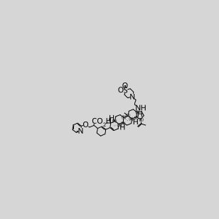 C=C(C)[C@@H]1CC[C@]2(NCCN3CCS(=O)(=O)CC3)CC[C@]3(C)[C@H](CC[C@@H]4[C@@]5(C)CC=C(C6=CC(C(COc7ccccn7)C(=O)O)CCC6)C(C)(C)[C@@H]5CC[C@]43C)[C@@H]12